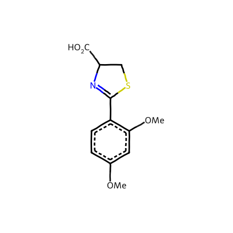 COc1ccc(C2=NC(C(=O)O)CS2)c(OC)c1